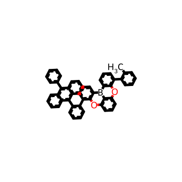 Cc1ccccc1-c1cccc2c1Oc1cccc3c1B2c1cccc(-c2ccccc2-c2c4ccccc4c(-c4ccccc4)c4ccccc24)c1O3